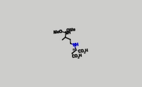 CO[SiH](OC)C(C)CCN[C@@H](CC(=O)O)C(=O)O